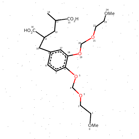 COCCOCOc1ccc(CC(CC(C)C(=O)O)C(=O)O)cc1OCOCCOC